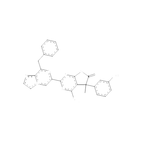 CC1(c2cccc(O)c2)C(=O)Nc2nc(-c3cn4ccnc4c(Cc4ccccc4)n3)nc(N)c21